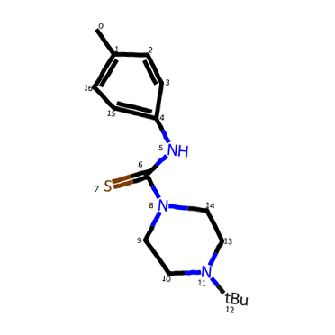 Cc1ccc(NC(=S)N2CCN(C(C)(C)C)CC2)cc1